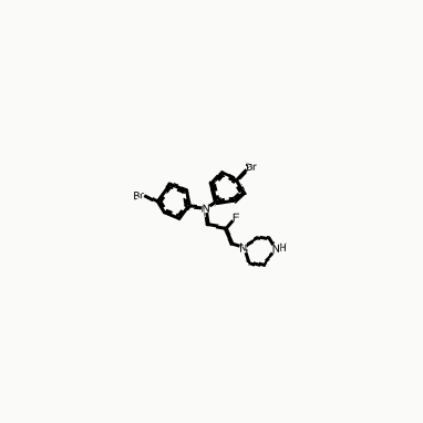 FC(CN1CCNCC1)CN(c1ccc(Br)cc1)c1ccc(Br)cc1